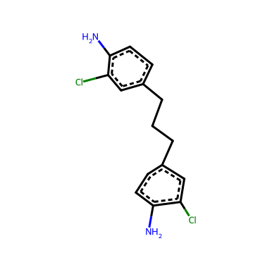 Nc1ccc(CCCc2ccc(N)c(Cl)c2)cc1Cl